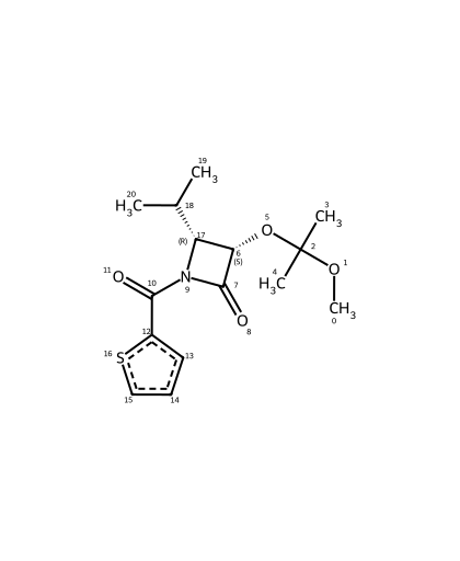 COC(C)(C)O[C@@H]1C(=O)N(C(=O)c2cccs2)[C@@H]1C(C)C